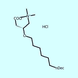 CCCCCCCCCCCCCCCCO[C@H](CC(=O)[O-])C[N+](C)(C)C.Cl